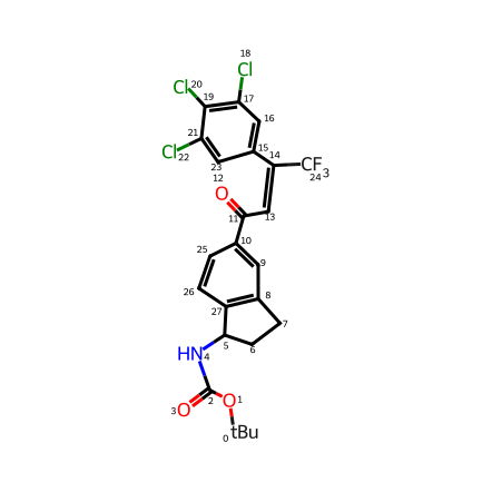 CC(C)(C)OC(=O)NC1CCc2cc(C(=O)C=C(c3cc(Cl)c(Cl)c(Cl)c3)C(F)(F)F)ccc21